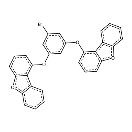 Brc1cc(Oc2cccc3oc4ccccc4c23)cc(Oc2cccc3oc4ccccc4c23)c1